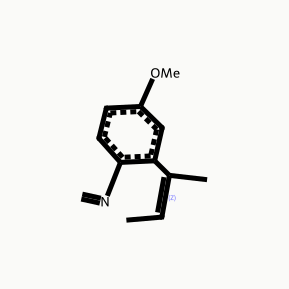 C=Nc1ccc(OC)cc1/C(C)=C\C